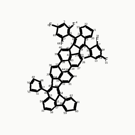 Fc1cc(F)c(-c2c3c(c(-c4c(F)cc(F)cc4F)c4ccccc24)-c2ccc4c5ccc6c7c(ccc(c8ccc-3c2c84)c57)c2c(-c3ccccc3)c3cccc4c5ccccc5c(c34)c62)c(F)c1